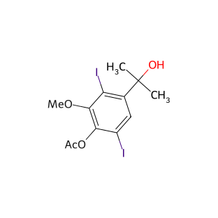 COc1c(I)c(C(C)(C)O)cc(I)c1OC(C)=O